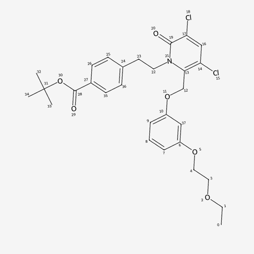 CCOCCOc1cccc(OCc2c(Cl)cc(Cl)c(=O)n2CCc2ccc(C(=O)OC(C)(C)C)cc2)c1